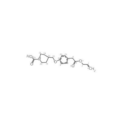 C=CCOC(=O)Cc1ccc(OCC2CCN(C(=O)O)CC2)cc1